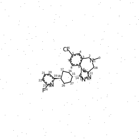 CN1Cc2cc(Cl)ccc2-n2c(nnc2[C@H]2CC[C@H](c3cccc(F)n3)CC2)C1